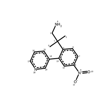 CC(C)(CN)c1ccc([N+](=O)[O-])cc1-c1cccnc1